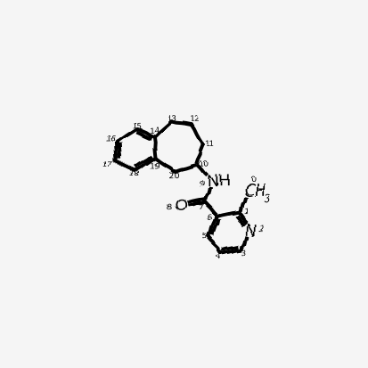 Cc1ncccc1C(=O)NC1CCCc2ccccc2C1